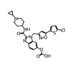 O=C(O)Oc1ccc2nc(C(=O)NC3CCN(C4CC4)CC3)n(Cc3cc(-c4ccc(Cl)s4)on3)c2c1